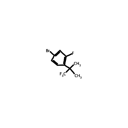 CC(C)(c1ccc(Br)cc1F)C(F)(F)F